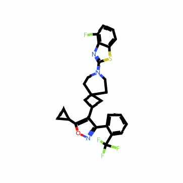 Fc1cccc2sc(N3CCC4(CC3)CC(c3c(-c5ccccc5C(F)(F)F)noc3C3CC3)C4)nc12